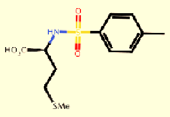 CSCC[C@H](NS(=O)(=O)c1ccc(C)cc1)C(=O)O